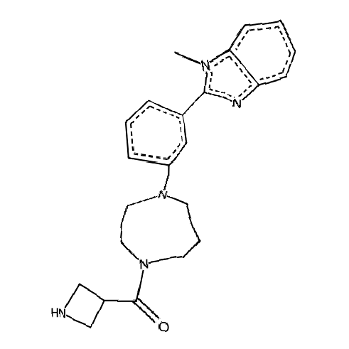 Cn1c(-c2cccc(N3CCCN(C(=O)C4CNC4)CC3)c2)nc2ccccc21